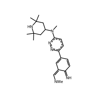 CN/C=C1/C=C(c2ccc(N(C)C3CC(C)(C)NC(C)(C)C3)nn2)C=CC1=N